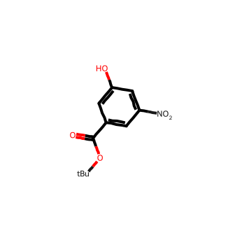 CC(C)(C)OC(=O)c1cc(O)cc([N+](=O)[O-])c1